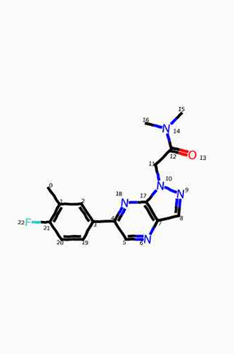 Cc1cc(-c2cnc3cnn(CC(=O)N(C)C)c3n2)ccc1F